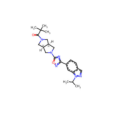 CC(C)n1ncc2ccc(-c3noc(N4C[C@H]5CN(C(=O)C(C)(C)C)C[C@H]5C4)n3)cc21